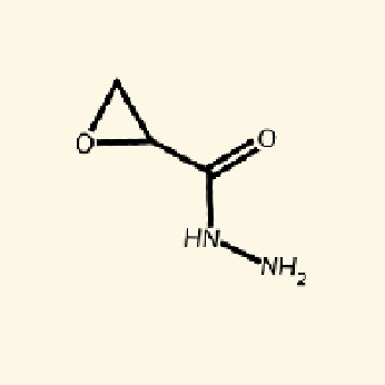 NNC(=O)C1CO1